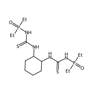 CCP(=O)(CC)NC(=S)NC1CCCCC1NC(=S)NP(=O)(CC)CC